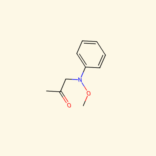 CON(CC(C)=O)c1ccccc1